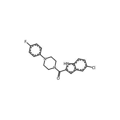 O=C(c1cc2cc(Cl)ccc2[nH]1)N1CCN(c2ccc(F)cc2)CC1